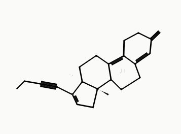 CCC#CC1=CC[C@H]2[C@@H]3CCC4=CC(=O)CCC4=C3CC[C@]12C